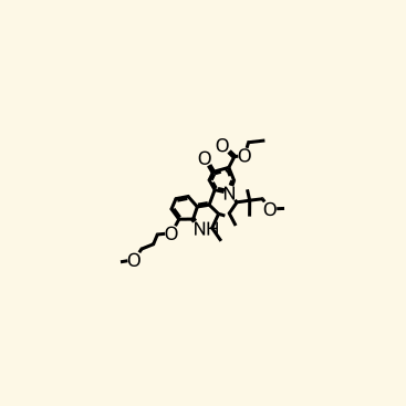 CCOC(=O)c1cn(C(CC)C(C)(C)COC)c(/C(=C2\C=CC=C(OCCCOC)C2=N)C(C)CC)cc1=O